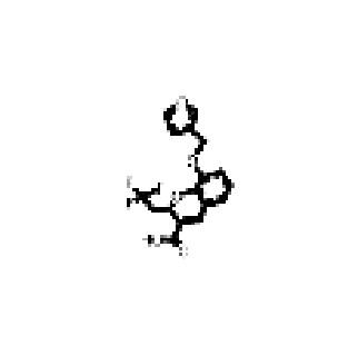 O=C(O)C1=Cc2cccc(OCc3ccoc3)c2OC1CC(F)(F)F